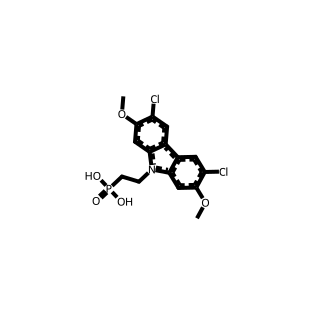 COc1cc2c(cc1Cl)c1cc(Cl)c(OC)cc1n2CCP(=O)(O)O